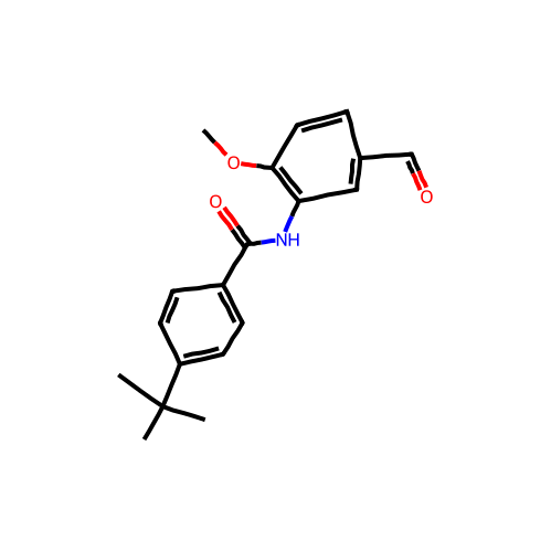 COc1ccc(C=O)cc1NC(=O)c1ccc(C(C)(C)C)cc1